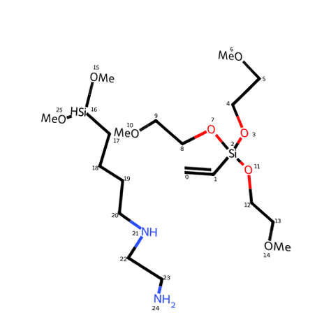 C=C[Si](OCCOC)(OCCOC)OCCOC.CO[SiH](CCCCNCCN)OC